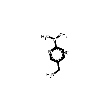 CN(C)c1ccc(CN)cn1.Cl